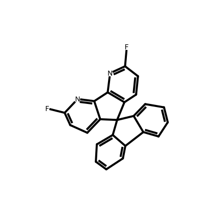 Fc1ccc2c(n1)-c1nc(F)ccc1C21c2ccccc2-c2ccccc21